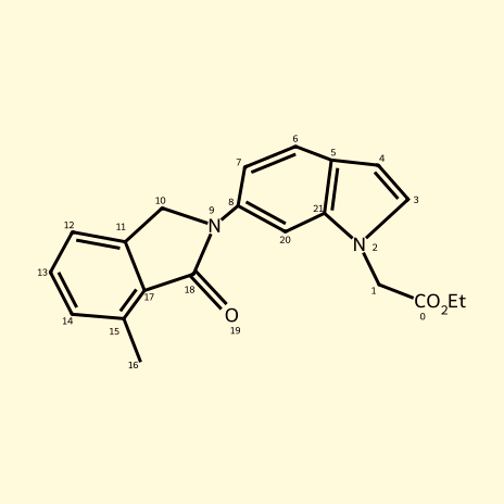 CCOC(=O)Cn1ccc2ccc(N3Cc4cccc(C)c4C3=O)cc21